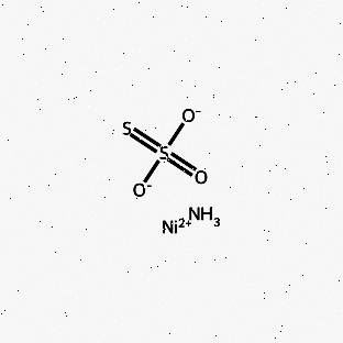 N.O=S([O-])([O-])=S.[Ni+2]